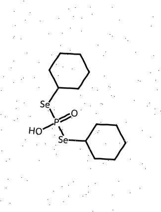 O=P(O)([Se]C1CCCCC1)[Se]C1CCCCC1